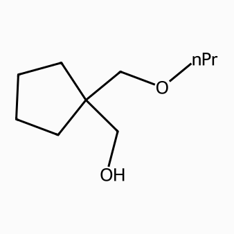 CCCOCC1(CO)CCCC1